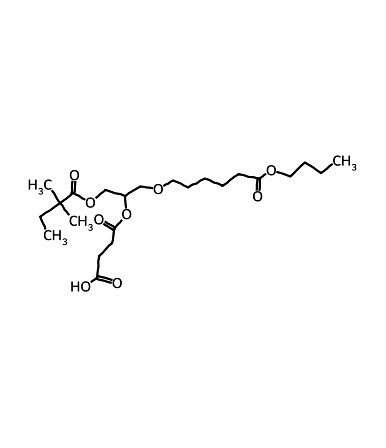 CCCCOC(=O)CCCCCOCC(COC(=O)C(C)(C)CC)OC(=O)CCC(=O)O